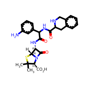 CC1(C)S[C@@H]2[C@H](NC(=O)C(NC(=O)C3Cc4ccccc4CN3)c3cccc(N)c3)C(=O)N2[C@H]1C(=O)O